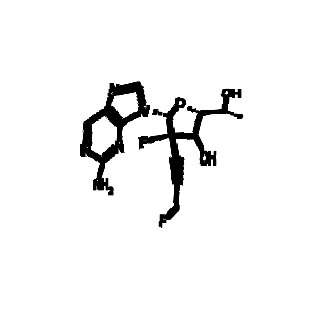 C[C@@H](O)[C@H]1O[C@@H](n2cnc3cnc(N)nc32)[C@@](F)(C#CCF)C1O